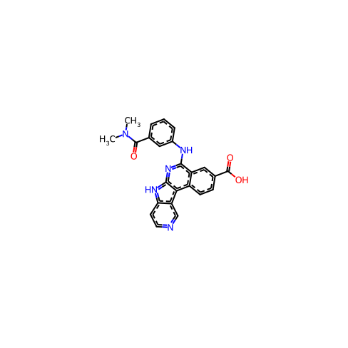 CN(C)C(=O)c1cccc(Nc2nc3[nH]c4ccncc4c3c3ccc(C(=O)O)cc23)c1